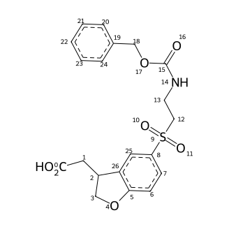 O=C(O)CC1COc2ccc(S(=O)(=O)CCNC(=O)OCc3ccccc3)cc21